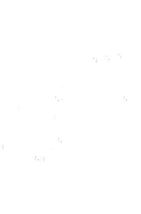 Cc1ncsc1-c1ccc(CNC(=O)[C@@]2(C(=O)CC(C)(C)CNC(=O)CCCN=[N+]=[N-])CC(O)CN2)cc1